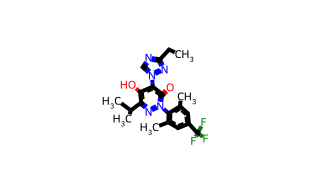 CCc1ncn(-c2c(O)c(C(C)C)nn(-c3c(C)cc(C(F)(F)F)cc3C)c2=O)n1